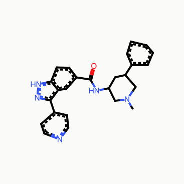 CN1CC(NC(=O)c2ccc3[nH]nc(-c4ccncc4)c3c2)CC(c2ccccc2)C1